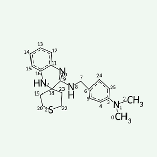 CN(C)c1ccc(CNC2=Nc3ccccc3NC23CCSCC3)cc1